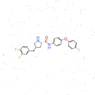 O=C(Nc1ccc(Oc2ccc(F)cc2)cc1)[C@@H]1C[C@@H](Cc2ccc(F)c(F)c2)CN1